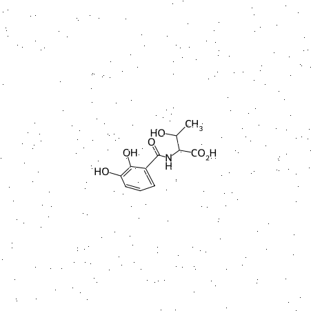 CC(O)C(NC(=O)c1cccc(O)c1O)C(=O)O